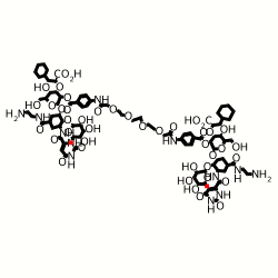 CC1O[C@@H](OC2C(NC(=O)c3cc(=O)[nH]c(=O)[nH]3)CC(C(=O)NCCN)C[C@H]2O[C@@H]2OC(CO)[C@H](O)C(O[C@@H](CC3CCCCC3)C(=O)O)C2OC(=O)c2ccc(NC(=O)COCCOCCOCCOCC(=O)Nc3ccc(C(=O)OC4C(O[C@@H](CC5CCCCC5)C(=O)O)[C@@H](O)C(CO)O[C@H]4O[C@@H]4CC(C(=O)NCCN)CC(NC(=O)c5cc(=O)[nH]c(=O)[nH]5)C4O[C@@H]4OC(C)[C@@H](O)C(O)C4O)cc3)cc2)C(O)C(O)[C@@H]1O